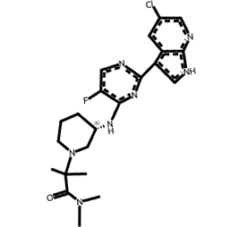 CN(C)C(=O)C(C)(C)N1CCC[C@H](Nc2nc(-c3c[nH]c4ncc(Cl)cc34)ncc2F)C1